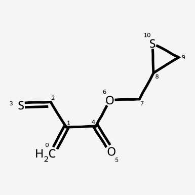 C=C(C=S)C(=O)OCC1CS1